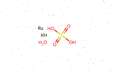 O.O=S(=O)(O)O.[KH].[Ru]